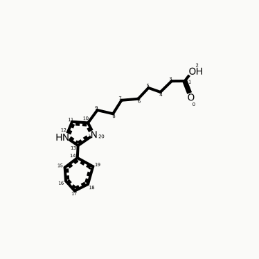 O=C(O)CCCCCCCc1c[nH]c(-c2ccccc2)n1